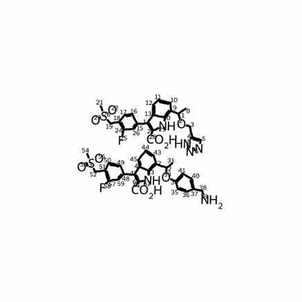 CC(OCc1cnn[nH]1)c1cccc2c(-c3ccc(CS(C)(=O)=O)c(F)c3)c(C(=O)O)[nH]c12.CC(Oc1ccc(CN)cc1)c1cccc2c(-c3ccc(CS(C)(=O)=O)c(F)c3)c(C(=O)O)[nH]c12